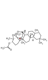 CC(=O)O[C@H]1CC[C@@]2(C)[C@@]3(OC[C@@H](OO3)[C@]3(C)[C@@]2(C)CC[C@@]2(C)[C@@H]4CC(C)(C)CC[C@]4(C)CC[C@]32C)C1(C)C